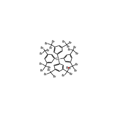 BrC(Br)(Br)c1cc(C(Br)(Br)Br)c[c]([Ga-]([c]2cc(C(Br)(Br)Br)cc(C(Br)(Br)Br)c2)([c]2cc(C(Br)(Br)Br)cc(C(Br)(Br)Br)c2)[c]2cc(C(Br)(Br)Br)cc(C(Br)(Br)Br)c2)c1